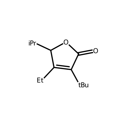 CCC1=C(C(C)(C)C)C(=O)OC1C(C)C